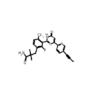 CC#Cc1ccc(-c2cc(=O)[nH]c(-c3c(C(F)(F)F)ccc(CC(C)(C)C(N)=O)c3F)n2)nc1